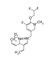 C=C/C(=C/NCC1=CC(F)=C(OCC(F)F)N(C)C1)C(/C=C\C)NC